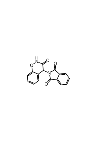 O=C1NOc2ccccc2C1N1C(=O)c2ccccc2C1=O